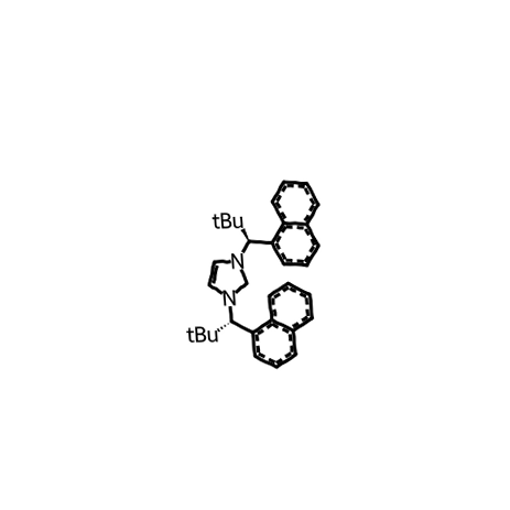 CC(C)(C)[C@@H](c1cccc2ccccc12)N1C=CN([C@H](c2cccc3ccccc23)C(C)(C)C)C1